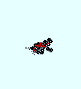 CC(C)(C)c1cc(-c2cccc3cccc(-c4ccccc4N(c4cccc(-c5cccc6cc(CC(C)(C)c7cc(-c8cccc9cccc(-c%10ccccc%10N(c%10ccc(-c%11cccc%12ccccc%11%12)cc%10)c%10ccc%11oc%12ccccc%12c%11c%10)c89)cc(C(C)(C)C)c7)ccc56)c4)c4ccc5oc6ccccc6c5c4)c23)cc(C(C)(C)C)c1